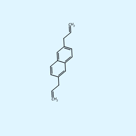 C=CCc1ccc2cc(CC=C)ccc2c1